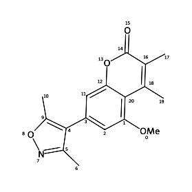 COc1cc(-c2c(C)noc2C)cc2oc(=O)c(C)c(C)c12